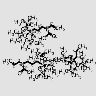 C=CCN(CCC[Si](O[Si](C)(C)C)(O[Si](C)(C)C)O[Si](C)(C)C)C(=O)O.C=CN(CCC[Si](O[Si](C)(C)C)(O[Si](C)(C)C)O[Si](C)(C)C)C(=O)O.CCC[Si](O[Si](C)(C)C)(O[Si](C)(C)C)O[Si](C)(C)C